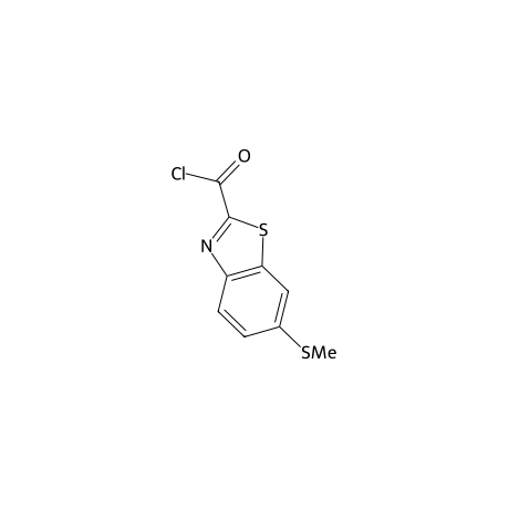 CSc1ccc2nc(C(=O)Cl)sc2c1